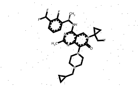 Cc1nc(N[C@H](C)c2cccc(C(F)F)c2F)c2cn(C3(CF)CC3)c(=O)c(N3CCN(CC4CC4)CC3)c2n1